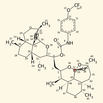 C[C@H]1[C@@H](C[C@H](OC(=O)Nc2ccc(OC(F)(F)F)cc2)C2O[C@@H]3C[C@]4(C)CC[C@H]5[C@H](C)CC[C@@H]([C@H]2C)[C@@]35OO4)O[C@@H]2C[C@]3(C)CC[C@H]4[C@H](C)CC[C@@H]1[C@@]24OO3